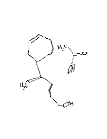 C=C(CCO)C1CC=CCC1.CC(=O)O